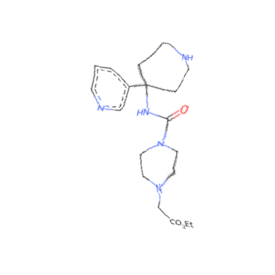 CCOC(=O)CN1CCN(C(=O)NC2(c3cccnc3)CCNCC2)CC1